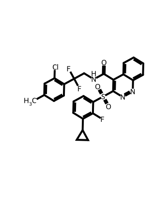 Cc1ccc(C(F)(F)CNC(=O)c2c(S(=O)(=O)c3cccc(C4CC4)c3F)nnc3ccccc23)c(Cl)c1